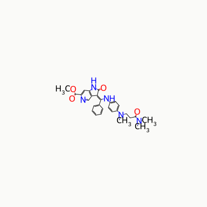 COC(=O)c1cc2c(cn1)/C(=C(/Nc1ccc(N(C)CCC(=O)N(C)C)cc1)c1ccccc1)C(=O)N2